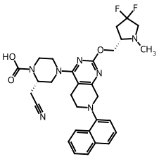 CN1CC(F)(F)C[C@H]1COc1nc2c(c(N3CCN(C(=O)O)[C@@H](CC#N)C3)n1)CCN(c1cccc3ccccc13)C2